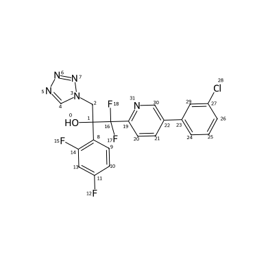 OC(Cn1cnnn1)(c1ccc(F)cc1F)C(F)(F)c1ccc(-c2cccc(Cl)c2)cn1